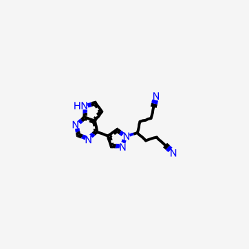 N#CCCC(CCC#N)n1cc(-c2ncnc3[nH]ccc23)cn1